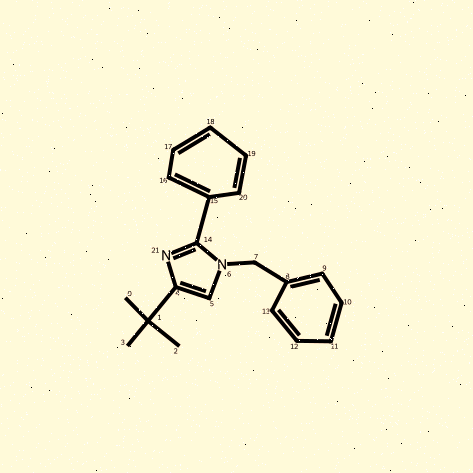 CC(C)(C)c1cn(Cc2ccccc2)c(-c2ccccc2)n1